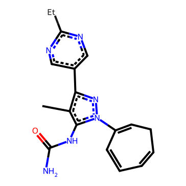 CCc1ncc(-c2nn(C3=CCC=CC=C3)c(NC(N)=O)c2C)cn1